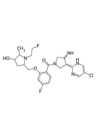 CC1C(O)CC(COc2cc(F)ccc2C(=O)N2CC(=N)/C(=C3/N=CC(Cl)=CN3)C2)N1CCF